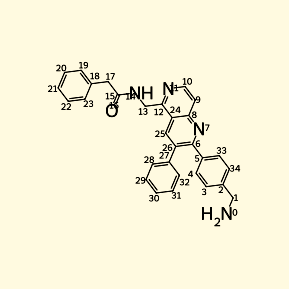 NCc1ccc(-c2nc3ccnc(CNC(=O)Cc4ccccc4)c3cc2-c2ccccc2)cc1